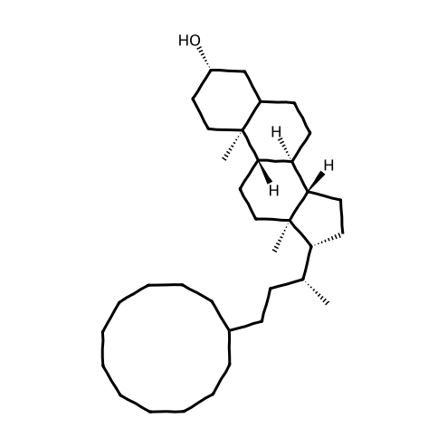 C[C@H](CCC1CCCCCCCCCCC1)[C@H]1CC[C@H]2[C@@H]3CCC4C[C@@H](O)CC[C@]4(C)[C@H]3CC[C@]12C